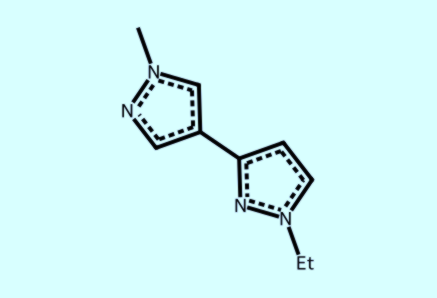 CCn1ccc(-c2cnn(C)c2)n1